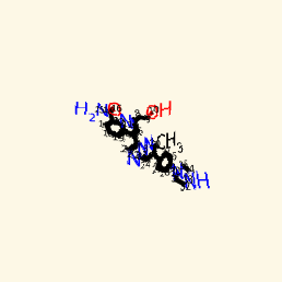 Cc1nn2c(-c3cc(CCO)nc4c(C(N)=O)cccc34)cnc2cc1-c1ccc(N2CCNCC2)cc1